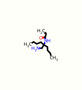 C=CC(=O)NC(CN)(CCCC)CCCC